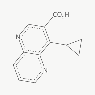 O=C(O)c1cnc2cccnc2c1C1CC1